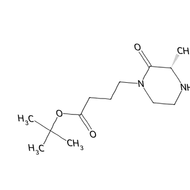 C[C@@H]1NCCN(CCCC(=O)OC(C)(C)C)C1=O